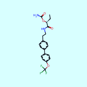 CC[C@H](OC(N)=O)C(=O)NCCc1ccc(-c2ccc(OC(F)(F)F)cc2)cc1